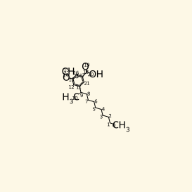 CCCCCCCCCC(C)c1cc(OC)cc(C(=O)O)c1